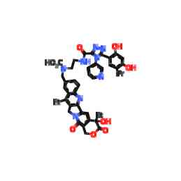 CCc1c2c(nc3ccc(CN(CCNC(=O)c4nnc(-c5cc(C(C)C)c(O)cc5O)n4-c4cccnc4)C(=O)O)cc13)-c1cc3c(c(=O)n1C2)COC(=O)C3(O)CC